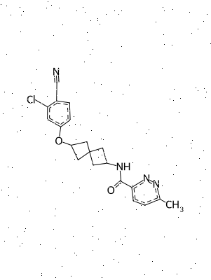 Cc1ccc(C(=O)NC2CC3(C2)CC(Oc2ccc(C#N)c(Cl)c2)C3)nn1